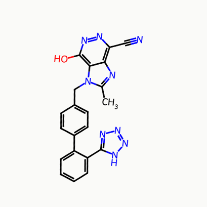 Cc1nc2c(C#N)nnc(O)c2n1Cc1ccc(-c2ccccc2-c2nnn[nH]2)cc1